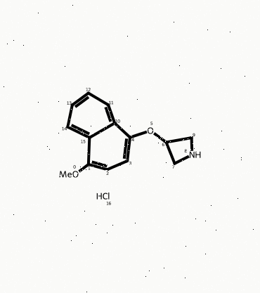 COc1ccc(OC2CNC2)c2ccccc12.Cl